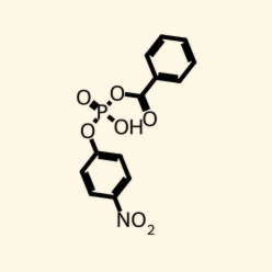 O=C(OP(=O)(O)Oc1ccc([N+](=O)[O-])cc1)c1ccccc1